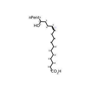 CCCCCC(O)CC/C=C\CCCCCCCCCC(=O)O